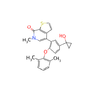 Cc1cccc(C)c1Oc1ccc(C2(O)CC2)cc1-c1cn(C)c(=O)c2sccc12